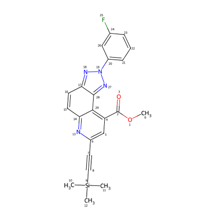 COC(=O)c1cc(C#C[Si](C)(C)C)nc2ccc3nn(-c4cccc(F)c4)nc3c12